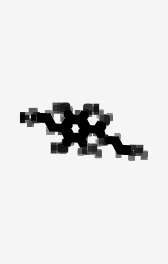 C=CCOC(=O)c1c(C)c(O)c(CC=C)c(O)c1C